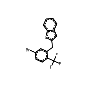 FC(F)(F)c1ccc(Br)cc1Cc1cc2ccccc2s1